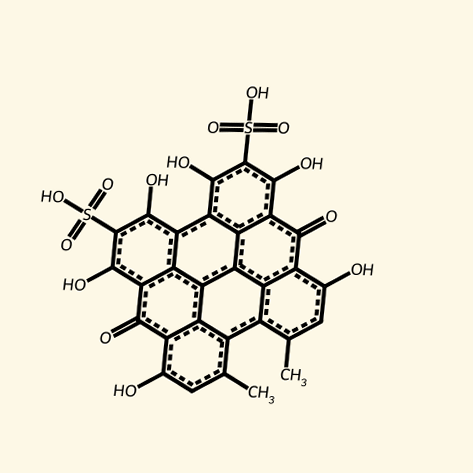 Cc1cc(O)c2c(=O)c3c(O)c(S(=O)(=O)O)c(O)c4c5c(O)c(S(=O)(=O)O)c(O)c6c(=O)c7c(O)cc(C)c8c1c2c(c34)c(c78)c65